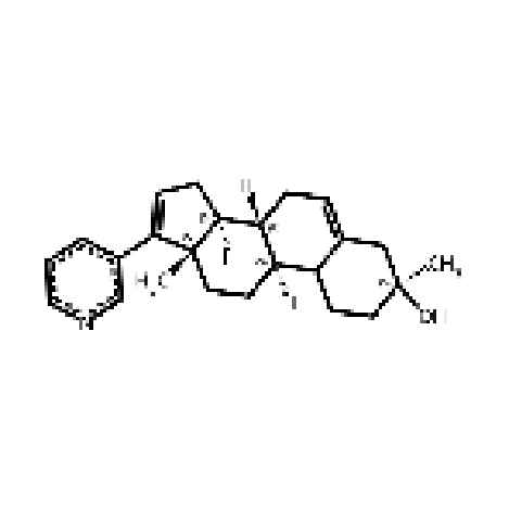 C[C@]1(O)CCC2C(=CC[C@@H]3[C@@H]2CC[C@]2(C)C(c4cccnc4)=CC[C@@H]32)C1